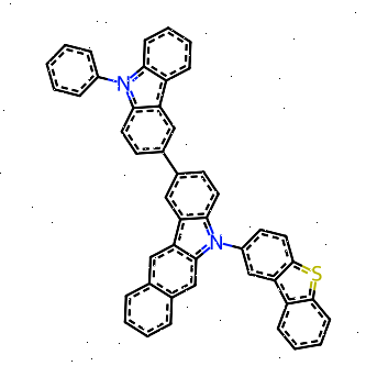 c1ccc(-n2c3ccccc3c3cc(-c4ccc5c(c4)c4cc6ccccc6cc4n5-c4ccc5sc6ccccc6c5c4)ccc32)cc1